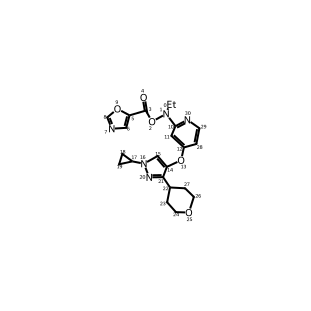 CCN(OC(=O)c1cnco1)c1cc(Oc2cn(C3CC3)nc2C2CCOCC2)ccn1